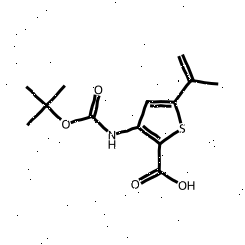 C=C(C)c1cc(NC(=O)OC(C)(C)C)c(C(=O)O)s1